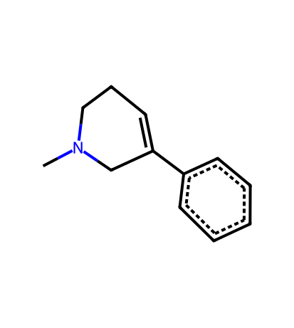 CN1CCC=C(c2ccccc2)C1